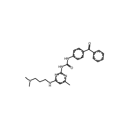 Cc1cc(NCCCN(C)C)nc(NC(=O)Nc2ccc(C(=O)c3ccccc3)cc2)n1